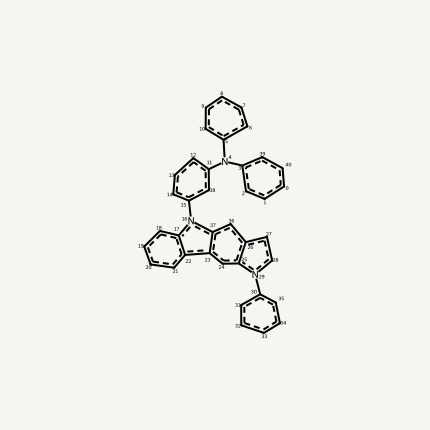 c1ccc(N(c2ccccc2)c2cccc(-n3c4ccccc4c4cc5c(ccn5-c5ccccc5)cc43)c2)cc1